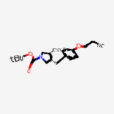 [C-]#[N+]CCOc1ccc(C[C@@H]2CN(C(=O)OC(C)(C)C)C[C@@H]2C(=O)OCC)cc1